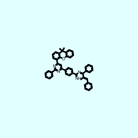 CC(=C\c1ccccc1)/C(=N\C(=N)c1ccc(-c2cc(-c3cccc4c3Oc3ccccc3C4(C)C)nc(-c3ccccc3)n2)cc1)c1ccccc1